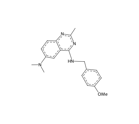 COc1ccc(CNc2nc(C)nc3ccc(N(C)C)cc23)cc1